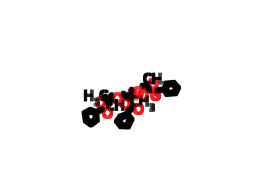 CC(C)(COCC(C)(COCC(C)(CO)OC(=O)c1ccccc1)OC(=O)c1ccccc1)OC(=O)c1ccccc1